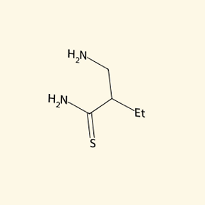 CCC(CN)C(N)=S